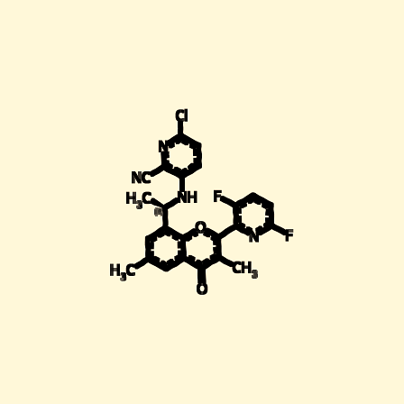 Cc1cc([C@@H](C)Nc2ccc(Cl)nc2C#N)c2oc(-c3nc(F)ccc3F)c(C)c(=O)c2c1